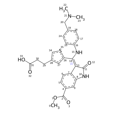 COC(=O)c1ccc2c(c1)NC(=O)/C2=C(\Nc1ccc(CN(C)C)cc1)c1cc(CCC(=O)O)cs1